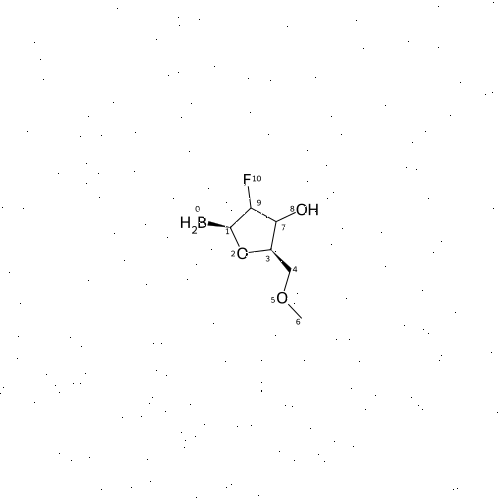 B[C@@H]1O[C@H](COC)C(O)C1F